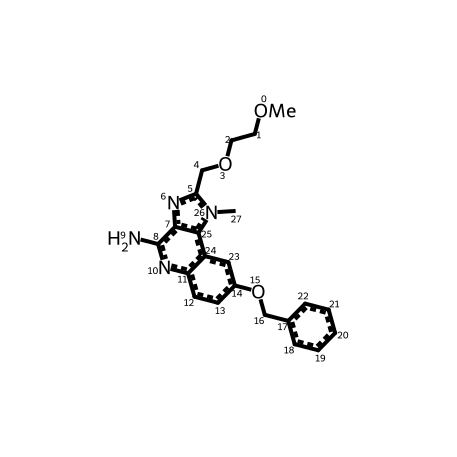 COCCOCc1nc2c(N)nc3ccc(OCc4ccccc4)cc3c2n1C